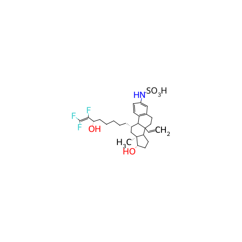 C=CC12CCc3cc(NS(=O)(=O)O)ccc3C1[C@@H](CCCCC[C@H](O)C(F)=C(F)F)C[C@@]1(C)C2CC[C@@H]1O